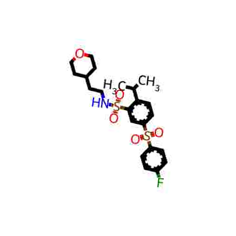 CC(C)c1ccc(S(=O)(=O)c2ccc(F)cc2)cc1S(=O)(=O)NCCC1CCOCC1